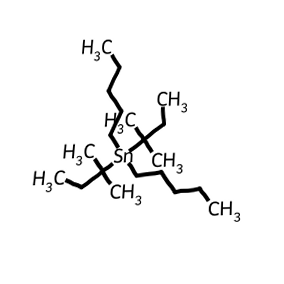 CCCC[CH2][Sn]([CH2]CCCC)([C](C)(C)CC)[C](C)(C)CC